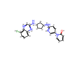 O=c1ccccn1-c1ccc(N[C@H]2CC[C@H](Nc3cnc4c(F)cccc4n3)C2)nc1